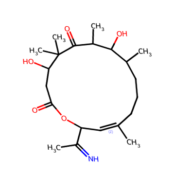 CC(=N)C1/C=C(/C)CCCC(C)C(O)C(C)C(=O)C(C)(C)C(O)CC(=O)O1